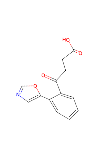 O=C(O)CCC(=O)c1ccccc1-c1cnco1